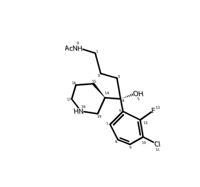 CC(=O)NCCC[C@@](O)(c1cccc(Cl)c1F)[C@@H]1CCCNC1